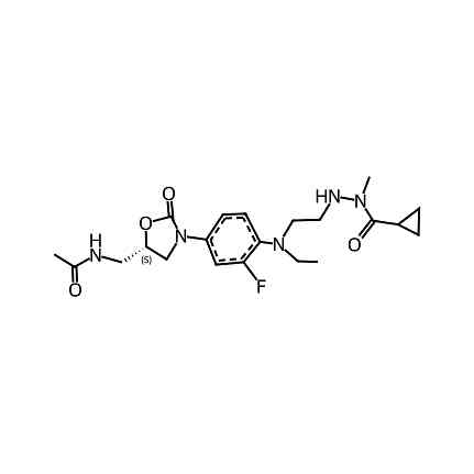 CCN(CCNN(C)C(=O)C1CC1)c1ccc(N2C[C@H](CNC(C)=O)OC2=O)cc1F